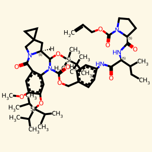 C=CCOC(=O)N1CCC[C@H]1C(=O)N[C@H](C(=O)Nc1ccc(COC(=O)N2c3cc(O[Si](C(C)C)(C(C)C)C(C)C)c(OC)cc3C(=O)N3CC4(CC4)C[C@H]3C2O[Si](C)(C)C(C)(C)C)cc1)C(C)CC